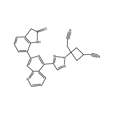 N#CCC1(n2ncc(-c3cc(-c4cccc5c4NC(=O)C5)cc4ncccc34)n2)CC(C#N)C1